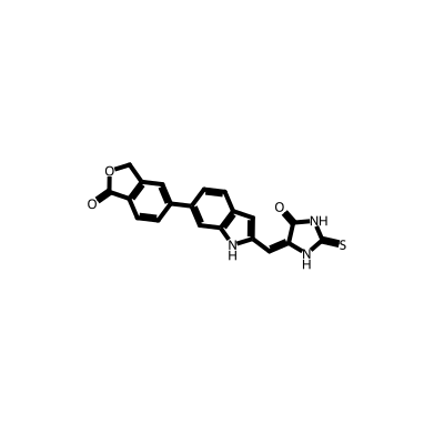 O=C1NC(=S)N/C1=C/c1cc2ccc(-c3ccc4c(c3)COC4=O)cc2[nH]1